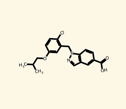 CC(C)COc1ccc(Cl)c(Cn2ncc3cc(C(=O)O)ccc32)c1